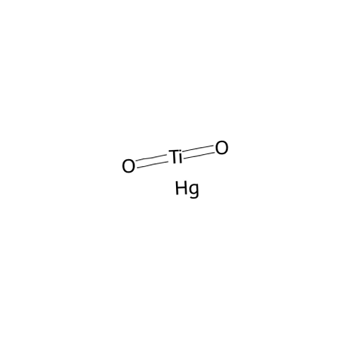 [Hg].[O]=[Ti]=[O]